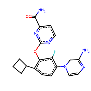 NC(=O)c1ccnc(Oc2c(C3CCC3)ccc(N3C=CN=C(N)C3)c2F)n1